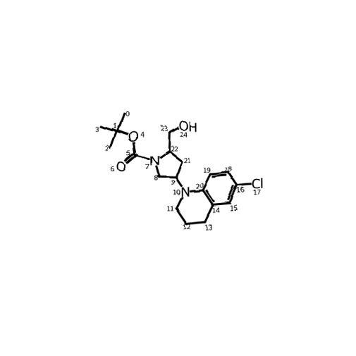 CC(C)(C)OC(=O)N1CC(N2CCCc3cc(Cl)ccc32)CC1CO